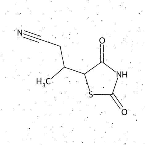 CC(CC#N)C1SC(=O)NC1=O